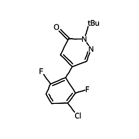 CC(C)(C)n1ncc(-c2c(F)ccc(Cl)c2F)cc1=O